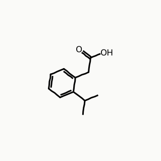 CC(C)c1ccccc1CC(=O)O